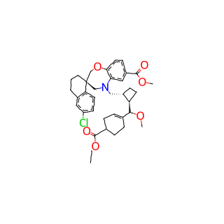 CCOC(=O)C1CC=C(C(OC)[C@@H]2CC[C@H]2CN2C[C@@]3(CCCc4cc(Cl)ccc43)COc3ccc(C(=O)OC)cc32)CC1